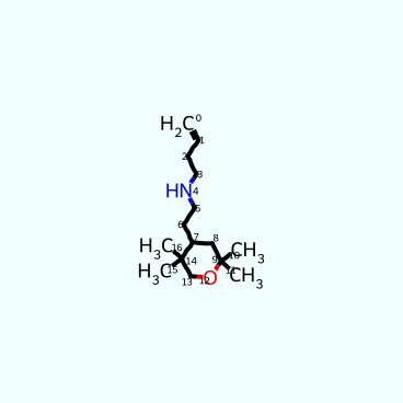 C=CCCNCCC1CC(C)(C)OCC1(C)C